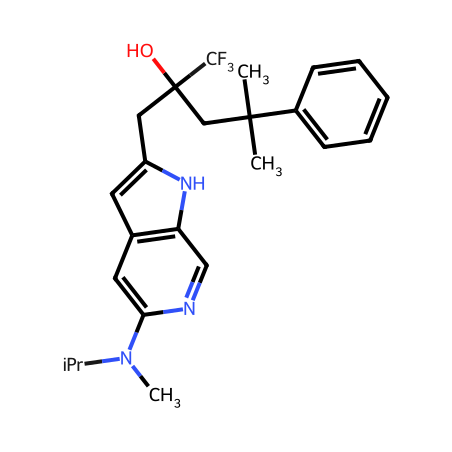 CC(C)N(C)c1cc2cc(CC(O)(CC(C)(C)c3ccccc3)C(F)(F)F)[nH]c2cn1